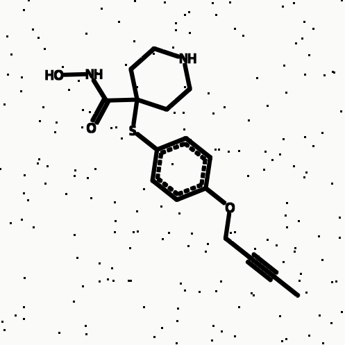 CC#CCOc1ccc(SC2(C(=O)NO)CCNCC2)cc1